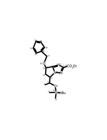 CCOC(=O)c1nc2n(n1)C(C(C)O[Si](C)(C)C(C)(C)C)CC2OCc1ccccc1